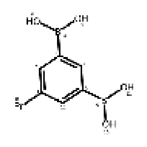 CC(C)c1cc(B(O)O)cc(B(O)O)c1